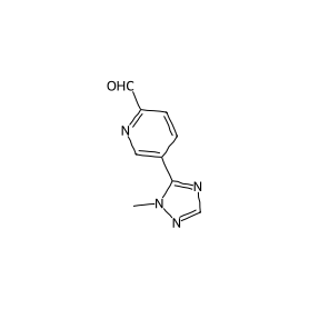 Cn1ncnc1-c1ccc(C=O)nc1